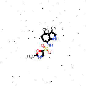 Cc1ncc(S(=O)(=O)Nc2ccc(C)c3c(C#N)c[nH]c23)o1